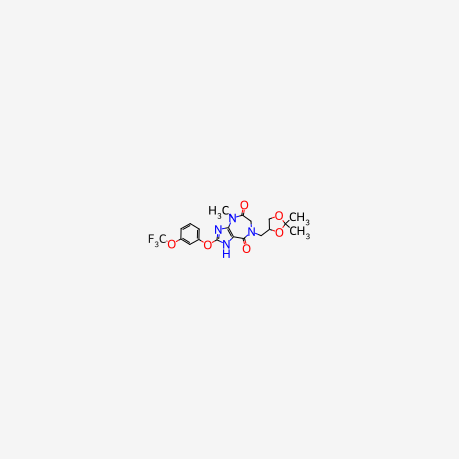 CN1C(=O)CN(CC2COC(C)(C)O2)C(=O)c2[nH]c(Oc3cccc(OC(F)(F)F)c3)nc21